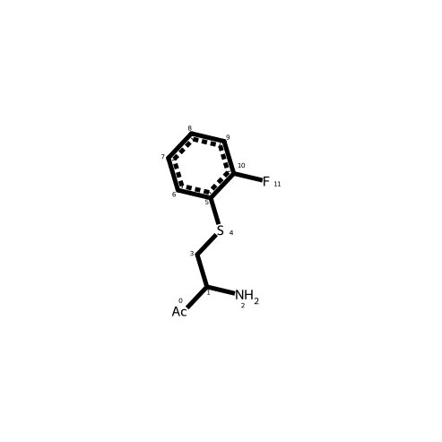 CC(=O)C(N)CSc1ccccc1F